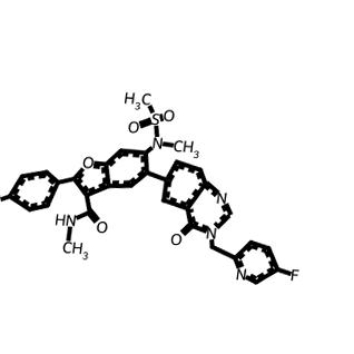 CNC(=O)c1c(-c2ccc(F)cc2)oc2cc(N(C)S(C)(=O)=O)c(-c3ccc4ncn(Cc5ccc(F)cn5)c(=O)c4c3)cc12